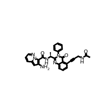 CC(=O)NCC#Cc1cccc2nc([C@H](C)NC(=O)c3c(N)cc4cccnn34)n(-c3ccccc3)c(=O)c12